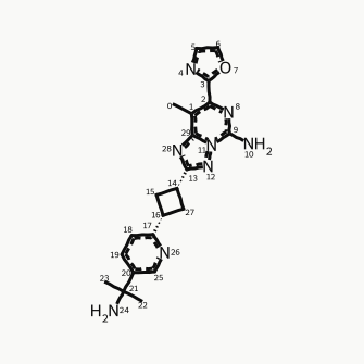 Cc1c(-c2ncco2)nc(N)n2nc([C@H]3C[C@@H](c4ccc(C(C)(C)N)cn4)C3)nc12